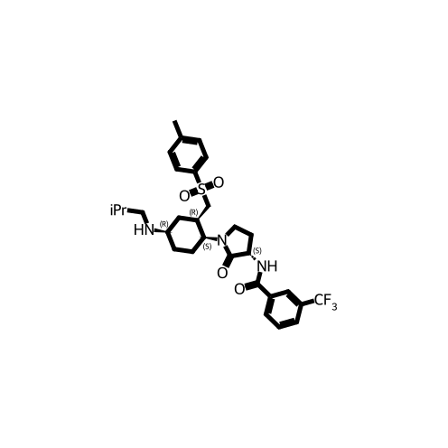 Cc1ccc(S(=O)(=O)C[C@@H]2C[C@H](NCC(C)C)CC[C@@H]2N2CC[C@H](NC(=O)c3cccc(C(F)(F)F)c3)C2=O)cc1